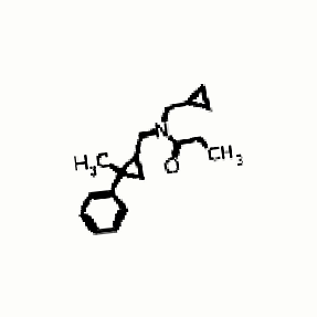 CCC(=O)N(CC1CC1)CC1CC1(C)c1ccccc1